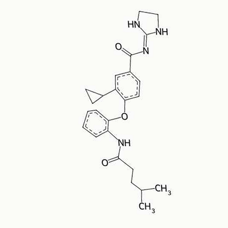 CC(C)CCC(=O)Nc1ccccc1Oc1ccc(C(=O)N=C2NCCN2)cc1C1CC1